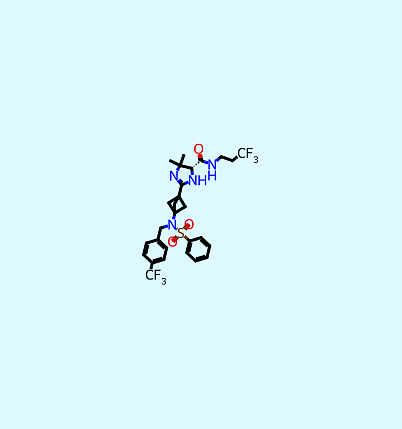 CC1(C)N=C(C23CC(N(Cc4ccc(C(F)(F)F)cc4)S(=O)(=O)c4ccccc4)(C2)C3)N[C@H]1C(=O)NCCC(F)(F)F